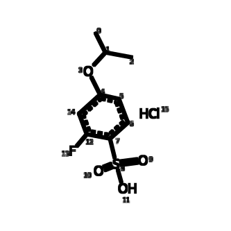 CC(C)Oc1ccc(S(=O)(=O)O)c(F)c1.Cl